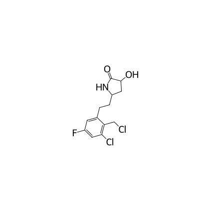 O=C1NC(CCc2cc(F)cc(Cl)c2CCl)CC1O